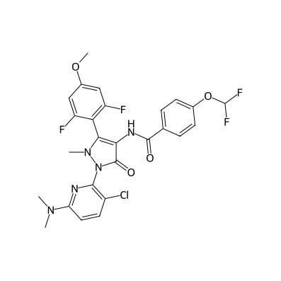 COc1cc(F)c(-c2c(NC(=O)c3ccc(OC(F)F)cc3)c(=O)n(-c3nc(N(C)C)ccc3Cl)n2C)c(F)c1